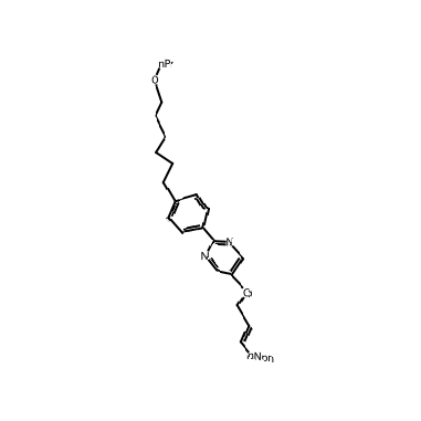 CCCCCCCCC/C=C/COc1cnc(-c2ccc(CCCCCCOCCC)cc2)nc1